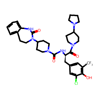 O=C(N[C@H](Cc1cc(Cl)c(O)c(C(F)(F)F)c1)C(=O)N1CCC(N2CCCC2)CC1)N1CCC(N2CCc3ccccc3NC2=O)CC1